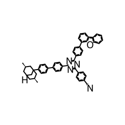 C[C@@H]1C[C@@H]2C[C@H](C)CC(c3ccc(-c4ccc(-c5nc(-c6ccc(C#N)cc6)nc(-c6ccc(-c7cccc8c7oc7ccccc78)cc6)n5)cc4)cc3)(C1)C2